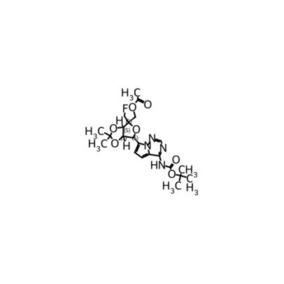 CC(=O)OC[C@@]1(CF)O[C@@H](c2ccc3c(NC(=O)OC(C)(C)C)ncnn23)[C@@H]2OC(C)(C)O[C@@H]21